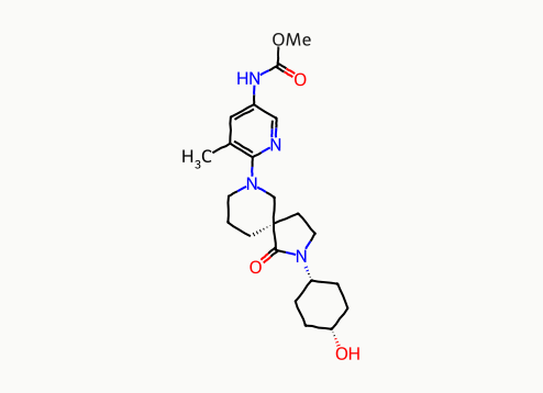 COC(=O)Nc1cnc(N2CCC[C@@]3(CCN([C@H]4CC[C@@H](O)CC4)C3=O)C2)c(C)c1